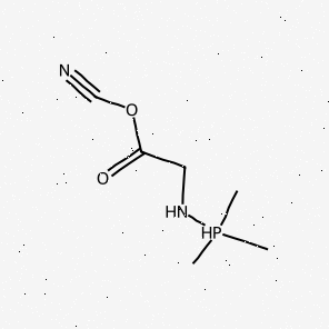 C[PH](C)(C)NCC(=O)OC#N